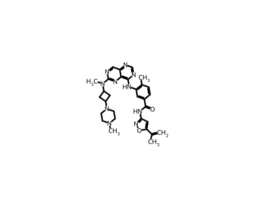 C=C(C)c1cc(NC(=O)c2ccc(C)c(Nc3ncnc4cnc(N(C)C5CC(N6CCN(C)CC6)C5)nc34)c2)no1